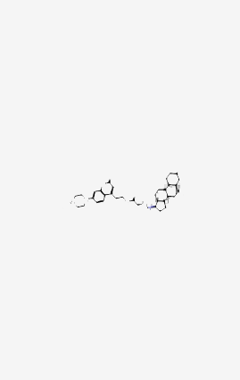 CN1CCN(c2ccc3c(CCNC(=O)CO/N=C4/CC[C@H]5[C@@H]6CC[C@H]7CC(=O)CC[C@]7(C)[C@H]6CC[C@]45C)cc(=O)oc3c2)CC1